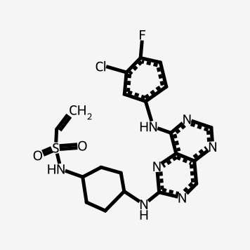 C=CS(=O)(=O)NC1CCC(Nc2ncc3ncnc(Nc4ccc(F)c(Cl)c4)c3n2)CC1